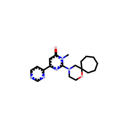 Cn1c(N2CCOC3(CCCCCC3)C2)nc(-c2ccncn2)cc1=O